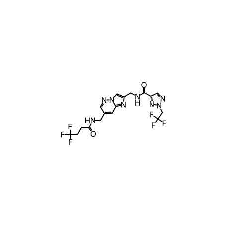 O=C(CCC(F)(F)F)NCc1cnn2cc(CNC(=O)c3cnn(CC(F)(F)F)n3)nc2c1